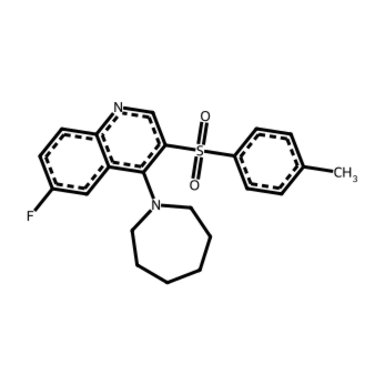 Cc1ccc(S(=O)(=O)c2cnc3ccc(F)cc3c2N2CCCCCC2)cc1